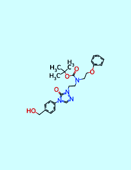 CC(C)(C)OC(=O)N(CCOc1ccccc1)CCn1ncn(-c2ccc(CO)cc2)c1=O